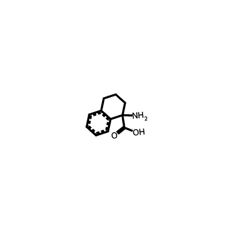 NC1(C(=O)O)CCCc2ccccc21